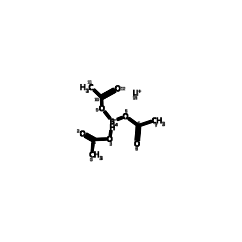 CC(=O)O[BH-](OC(C)=O)OC(C)=O.[Li+]